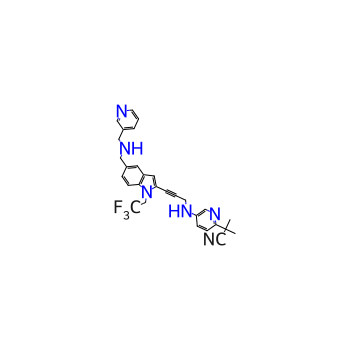 CC(C)(C#N)c1ccc(NCC#Cc2cc3cc(CNCc4cccnc4)ccc3n2CC(F)(F)F)cn1